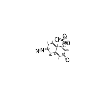 [N-]=[N+]=C1CC=C2C(=CC(=O)C=C2S(=O)(=O)Cl)C1